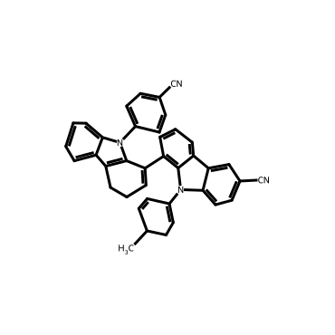 CC1C=CC(n2c3ccc(C#N)cc3c3cccc(C4=CCCc5c4n(-c4ccc(C#N)cc4)c4ccccc54)c32)=CC1